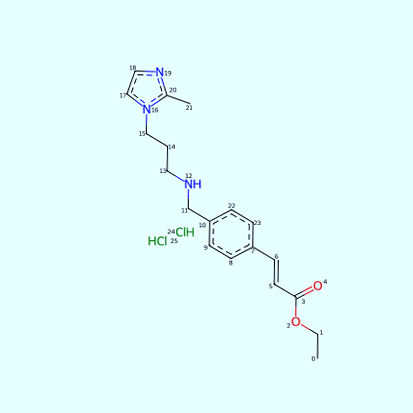 CCOC(=O)C=Cc1ccc(CNCCCn2ccnc2C)cc1.Cl.Cl